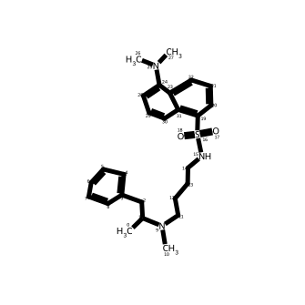 CC(Cc1ccccc1)N(C)CCCCNS(=O)(=O)c1cccc2c(N(C)C)cccc12